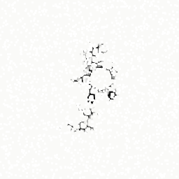 CC(C)CC(=O)OC1C(OC2C(CO)OC(Oc3ccc(CC4NC(=O)C(C)N(c5ccccc5)C(=O)CNC(=O)C(CO)NC(=O)C(C(O)C5CNC(=N)N5C5OC(CO)C(O)C(O)C5O)NC(=O)C(C(O)C5CNC(=N)N5)NC4=O)cc3)C(O)C2O)OC(CO)C(O)C1O